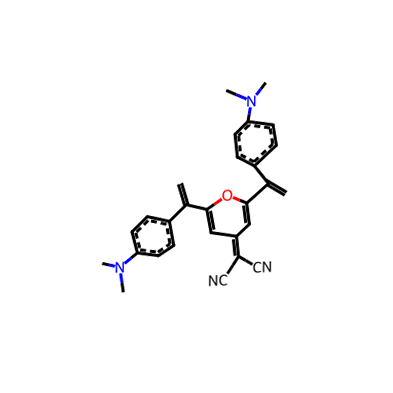 C=C(C1=CC(=C(C#N)C#N)C=C(C(=C)c2ccc(N(C)C)cc2)O1)c1ccc(N(C)C)cc1